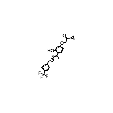 C/C(=N\OCc1ccc(C(F)(F)F)cc1)c1ccc(OCC(=O)C2CC2)cc1O